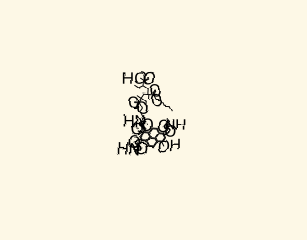 CCCCOC(=O)C(C)(CC(CC)C(=O)O)CC(C)(CC)C(=O)OCCNS(=O)(=O)c1cc(S(=O)(=O)NC)c2ccc3c(O)cc(S(=O)(=O)NC)c4ccc1c2c34